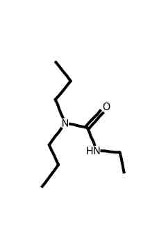 CCCN(CCC)C(=O)NCC